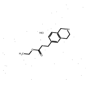 CCOC(=O)CCc1ccc2c(c1)CCNC2.Cl